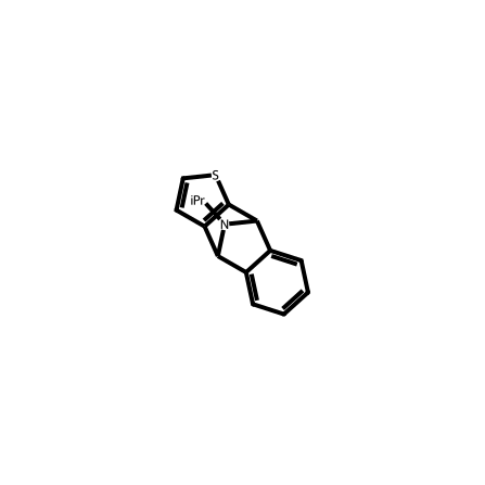 CC(C)N1C2c3ccccc3C1c1sccc12